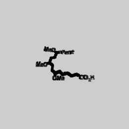 CCCCCC(CCC(CCC(CCCCCC(=O)O)OC)OC)OC